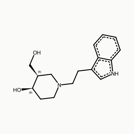 OC[C@H]1CN(CCc2c[nH]c3ccccc23)CC[C@H]1O